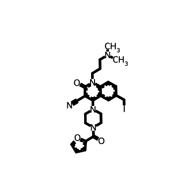 CN(C)CCCn1c(=O)c(C#N)c(N2CCN(C(=O)c3ccco3)CC2)c2cc(CI)ccc21